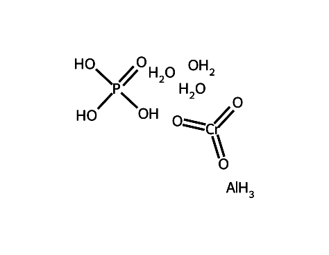 O.O.O.O=P(O)(O)O.[AlH3].[O]=[Cr](=[O])=[O]